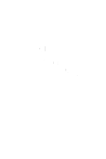 C=C/C1=C(\CC(C)=O)CCCCCCC1